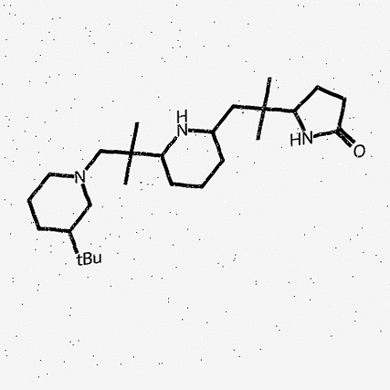 CC(C)(C)C1CCCN(CC(C)(C)C2CCCC(CC(C)(C)C3CCC(=O)N3)N2)C1